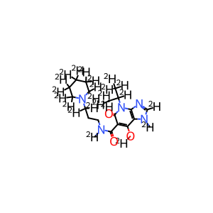 [2H]Oc1c(C(=O)N([2H])CCC([2H])([2H])N2C([2H])([2H])C([2H])([2H])C([2H])([2H])C([2H])([2H])C2([2H])[2H])c(=O)n(C([2H])(C([2H])([2H])[2H])C([2H])([2H])[2H])c2nc([2H])n([2H])c12